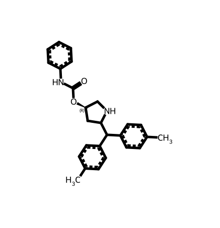 Cc1ccc(C(c2ccc(C)cc2)C2C[C@@H](OC(=O)Nc3ccccc3)CN2)cc1